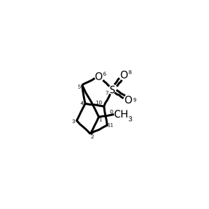 CC1C2CC3C1OS(=O)(=O)C3C2